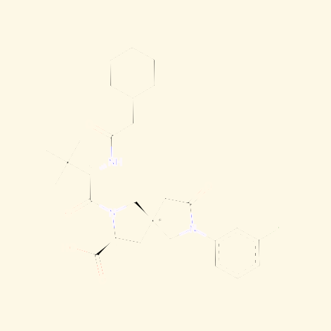 CC(C)(C)[C@H](NC(=O)CC1CCCCC1)C(=O)N1C[C@]2(CC(=O)N(c3cccc(Cl)c3)C2)C[C@H]1C(=O)O